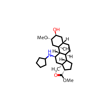 COC(=O)[C@H]1CC[C@H]2[C@@H]3CC[C@H]4C[C@H](O)[C@@H](OC)C[C@]4(C)[C@H]3[C@H](NC3CCCC3)C[C@]12C